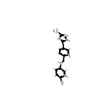 FC(F)(F)c1nc(-c2ccc(COc3ccc(Cl)nc3)nc2)no1